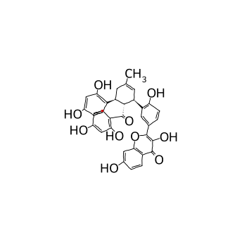 CC1=C[C@@H](c2cc(-c3oc4cc(O)ccc4c(=O)c3O)ccc2O)[C@H](C(=O)c2ccc(O)cc2O)[C@@H](c2ccc(O)cc2O)C1